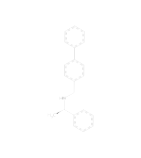 C[C@@H](NCc1ccc(-c2ccccc2)cc1)c1ccccc1